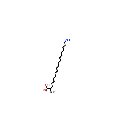 CCCC(CCCCCCCCCCCCCCCCCCN)[SiH](O)O